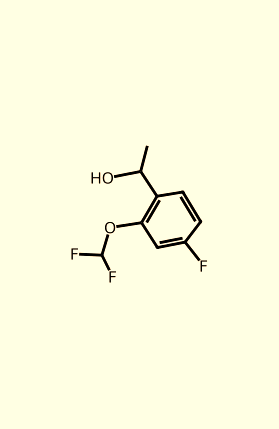 CC(O)c1ccc(F)cc1OC(F)F